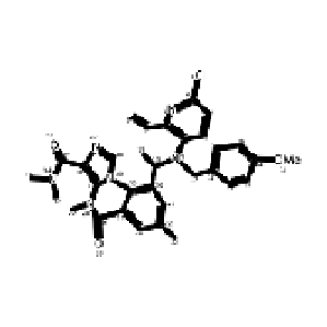 C=Cc1nc(Cl)ccc1N(Cc1ccc(OC)cc1)C(C)c1cc(C)cc2c(=O)n(C)c3c(C(=O)N(C)C)ncn3c12